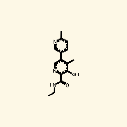 CCNC(=O)c1ncc(-c2ccc(C)nc2)c(C)c1O